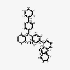 C[C@@H]1CC=CC=C1N(c1ccc(-c2ccccc2)cc1)c1ccc(-c2cccc3c2oc2ccccc23)cc1